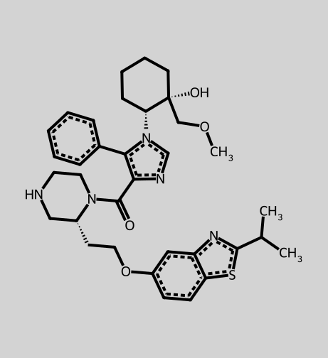 COC[C@]1(O)CCCC[C@H]1n1cnc(C(=O)N2CCNC[C@H]2CCOc2ccc3sc(C(C)C)nc3c2)c1-c1ccccc1